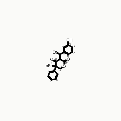 CCCC1(c2ccccc2)COC(=O)C(C(CC)c2cccc(O)c2)C1=O